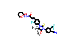 CC1(C)C(=O)N(c2ccc(C#N)c(C(F)(F)F)c2)C(=S)N1c1ccc(/C=C/C(=O)NOC2CCCCO2)c(F)c1